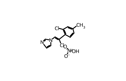 Cc1ccc(C(Cl)=Cn2ccnc2)c(Cl)c1.O=[N+]([O-])O